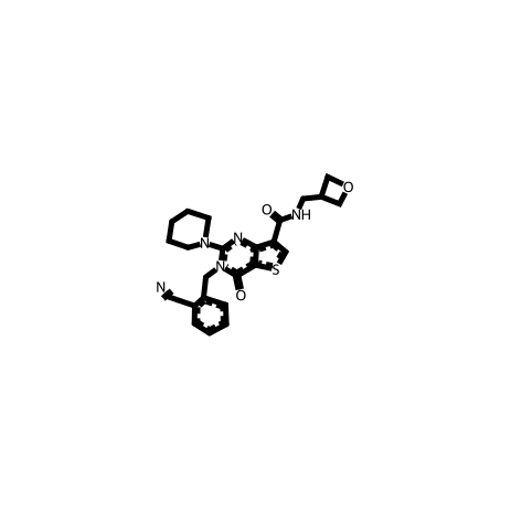 N#Cc1ccccc1Cn1c(N2CCCCC2)nc2c(C(=O)NCC3COC3)csc2c1=O